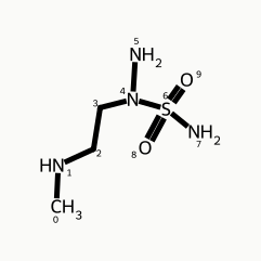 CNCCN(N)S(N)(=O)=O